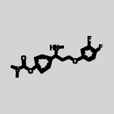 CNC(CCOc1ccc(F)c(F)c1)c1ccc(OC(=O)N(C)C)cc1